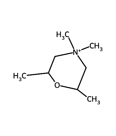 CC1C[N+](C)(C)CC(C)O1